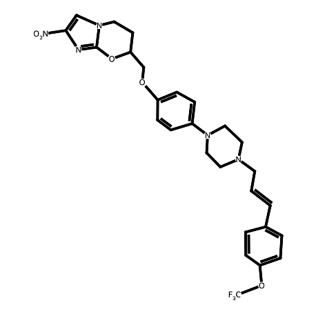 O=[N+]([O-])c1cn2c(n1)OC(COc1ccc(N3CCN(CC=Cc4ccc(OC(F)(F)F)cc4)CC3)cc1)CC2